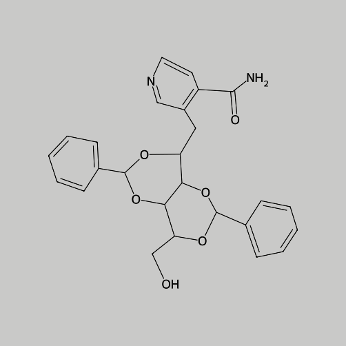 NC(=O)c1ccncc1CC1OC(c2ccccc2)OC2C(CO)OC(c3ccccc3)OC12